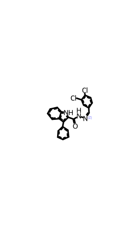 O=C(N/N=C\c1ccc(Cl)c(Cl)c1)c1[nH]c2ccccc2c1-c1ccccc1